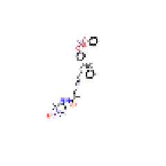 CCC(CC(C/C=C/CCC(C)C(=O)NC1CC(C)(C)N(O)C(C)(C)C1)c1ccccc1)c1ccc(OP(C)(=O)Oc2ccccc2)cc1